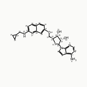 Nc1ncnc2c1ccn2C1S[C@@H](COc2ccc3ccc(NCC4CC4)nc3c2)[C@H](O)[C@@H]1O